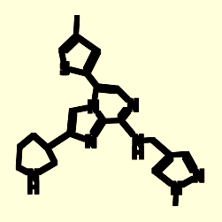 Cc1csc(-c2cnc(NCc3cnn(C)c3)c3nc(C4CCCNC4)cn23)c1